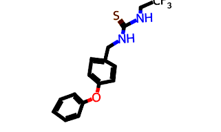 FC(F)(F)CNC(=S)NCc1ccc(Oc2ccccc2)cc1